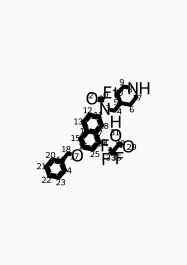 CCC(=O)N(CC1CCNCC1)c1ccc2cc(OCc3ccccc3)ccc2c1.O=C(O)C(F)(F)F